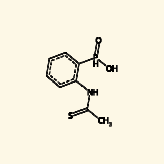 CC(=S)Nc1ccccc1[PH](=O)O